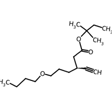 C#C[C@@H](CCCOCCCC)CC(=O)OC(C)(C)CC